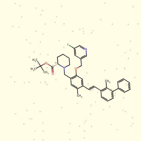 Cc1cc(CN2CCCC[C@H]2C(=O)OC(C)(C)C)c(OCc2cncc(F)c2)cc1/C=C/c1cccc(-c2ccccc2)c1C